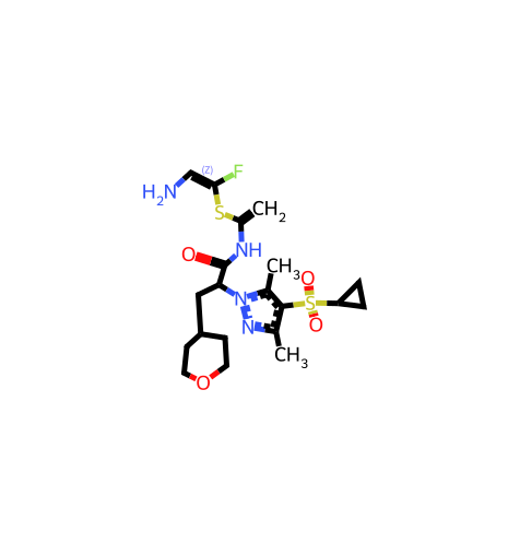 C=C(NC(=O)C(CC1CCOCC1)n1nc(C)c(S(=O)(=O)C2CC2)c1C)S/C(F)=C\N